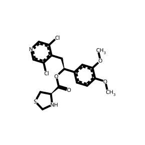 COc1ccc([C@H](Cc2c(Cl)cncc2Cl)OC(=O)[C@@H]2CSCN2)cc1OC